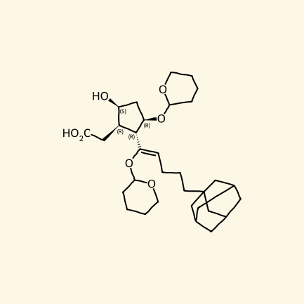 O=C(O)C[C@@H]1[C@@H](C(=CCCCC23CC4CC(CC(C4)C2)C3)OC2CCCCO2)[C@H](OC2CCCCO2)C[C@@H]1O